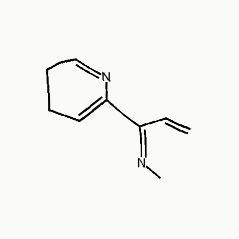 C=C/C(=N\C)C1=CCCC=N1